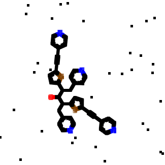 O=C(C(Cc1ccncc1)c1ccc(C#Cc2ccncc2)s1)C(Cc1ccncc1)c1ccc(C#Cc2ccncc2)s1